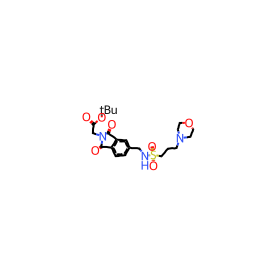 CC(C)(C)OC(=O)CN1C(=O)c2ccc(CNS(=O)(=O)CCCN3CCOCC3)cc2C1=O